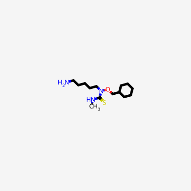 CNC(=S)N(CCCCCN)OCC1CCCCC1